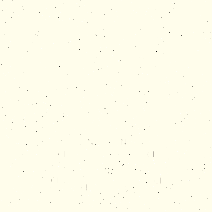 ClC(Cl)(Cl)c1nc(-c2ccc3c(c2)Cc2ccccc2-3)nc(C(Cl)(Cl)Cl)n1